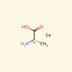 C[C@H](N)C(=O)O.[Ce]